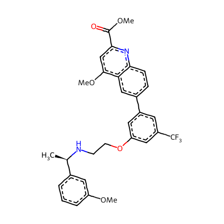 COC(=O)c1cc(OC)c2cc(-c3cc(OCCN[C@H](C)c4cccc(OC)c4)cc(C(F)(F)F)c3)ccc2n1